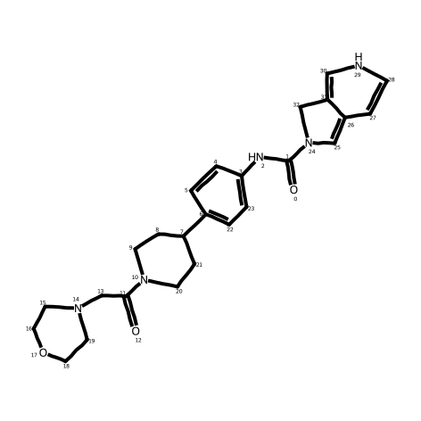 O=C(Nc1ccc(C2CCN(C(=O)CN3CCOCC3)CC2)cc1)N1C=C2C=CNC=C2C1